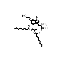 CCCCCCCC(=O)OCC(C)OC(=O)CCCCCCC.N[C@@H](Cc1c[nH]c2ccccc12)C(=O)O.OCCO